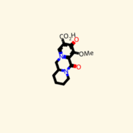 COc1c2n(cc(C(=O)O)c1=O)CC1CCCCN1C2=O